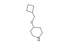 C1CC(COC2CCNCC2)C1